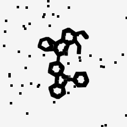 C=Cc1ccc2c3c(c(-c4ccc5c6ccccc6n(-c6ccccc6)c5c4)nc2c1C=C)C1CCC3C1